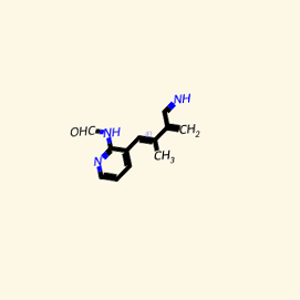 C=C(C=N)/C(C)=C/c1cccnc1NC=O